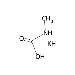 CNC(=O)O.[KH]